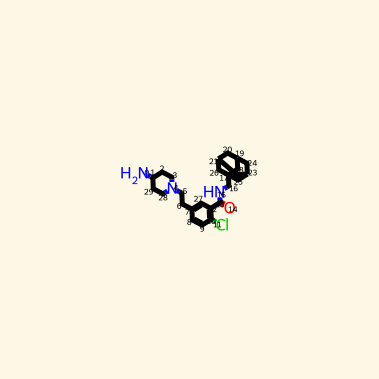 NC1CCN(CCc2ccc(Cl)c(C(=O)NCC34CC5CC(CC(C5)C3)C4)c2)CC1